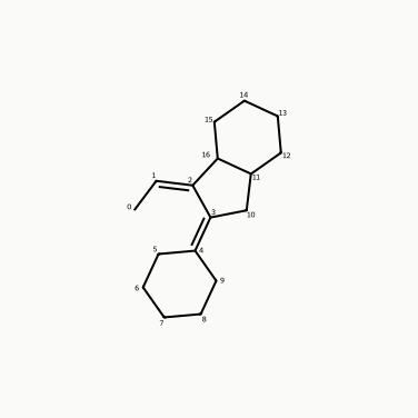 CC=C1C(=C2CCCCC2)CC2CCCCC12